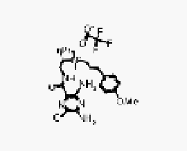 CCC[C@@H](CNC(=O)c1nc(Cl)c(N)nc1N)[N+](C)(C)CCCc1ccc(OC)cc1.O=C([O-])C(F)(F)F